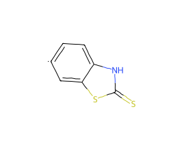 S=c1[nH]c2cc[c]cc2s1